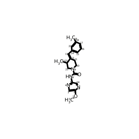 COc1cnc(NC(=O)N2CCC(=Cc3cccc(C)c3)C(C)C2)cn1